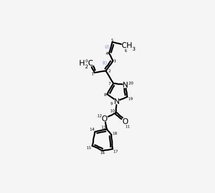 C=C/C(=C\C=C/C)c1cn(C(=O)Oc2ccccc2)cn1